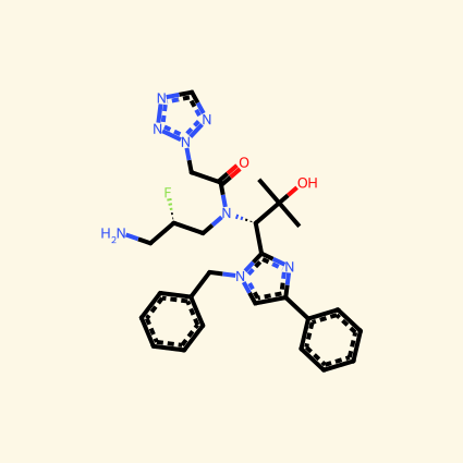 CC(C)(O)[C@H](c1nc(-c2ccccc2)cn1Cc1ccccc1)N(C[C@@H](F)CN)C(=O)Cn1ncnn1